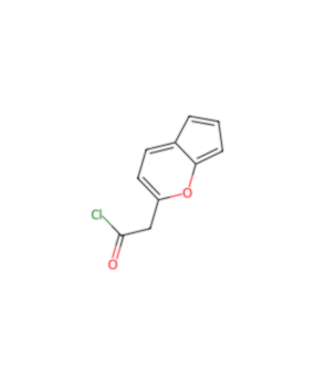 O=C(Cl)Cc1ccc2cccc-2o1